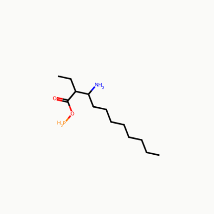 CCCCCCCCC(N)C(CC)C(=O)OP